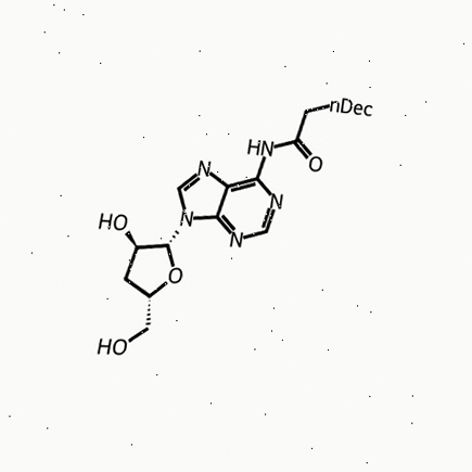 CCCCCCCCCCCC(=O)Nc1ncnc2c1ncn2[C@@H]1O[C@H](CO)C[C@H]1O